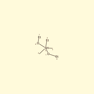 CCO[SH](C)(C)(CC)OCC